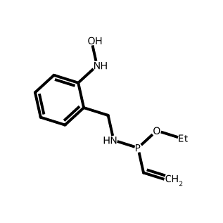 C=CP(NCc1ccccc1NO)OCC